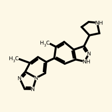 Cc1cc2c(C3CCNC3)n[nH]c2cc1-c1cc(C)c2ncnn2c1